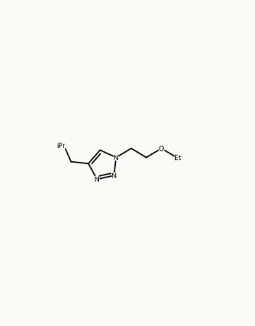 CCOCCn1cc(CC(C)C)nn1